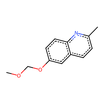 COCOc1ccc2nc(C)ccc2c1